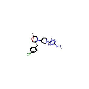 C[C@@H]1CN(C2CCN(c3nnc(N)[nH]3)CC2)[C@@H](Cc2ccc(Cl)cc2)CO1